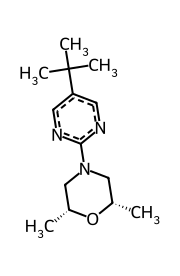 C[C@@H]1CN(c2ncc(C(C)(C)C)cn2)C[C@H](C)O1